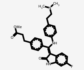 COC(=O)CCc1ccc(C(Nc2ccc(CCN(C)C)cc2)=C2C(=O)Nc3cc(F)ccc32)cc1